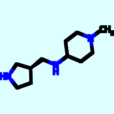 CN1CCC(NC[C@H]2CCNC2)CC1